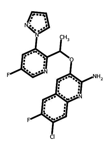 CC(Oc1cc2cc(F)c(Cl)cc2nc1N)c1ncc(F)cc1-n1cccn1